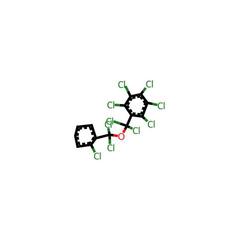 Clc1ccccc1C(Cl)(Cl)OC(Cl)(Cl)c1c(Cl)c(Cl)c(Cl)c(Cl)c1Cl